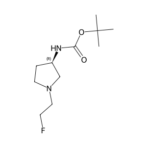 CC(C)(C)OC(=O)N[C@@H]1CCN(CCF)C1